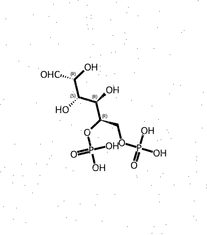 O=C[C@H](O)[C@@H](O)[C@@H](O)[C@@H](COP(=O)(O)O)OP(=O)(O)O